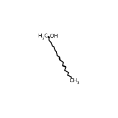 C=C(O)CCCCCCC/C=C/C/C=C/CCCCC